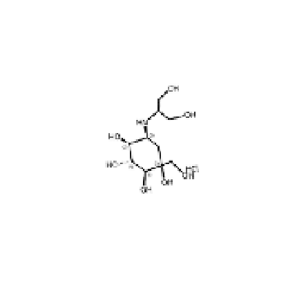 Cl.OCC(CO)N[C@H]1C[C@](O)(CO)[C@@H](O)[C@H](O)[C@H]1O